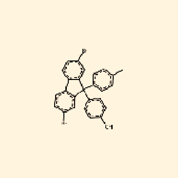 Cc1ccc(C2(c3ccc(O)cc3)c3cc(Br)ccc3-c3ccc(Br)cc32)cc1